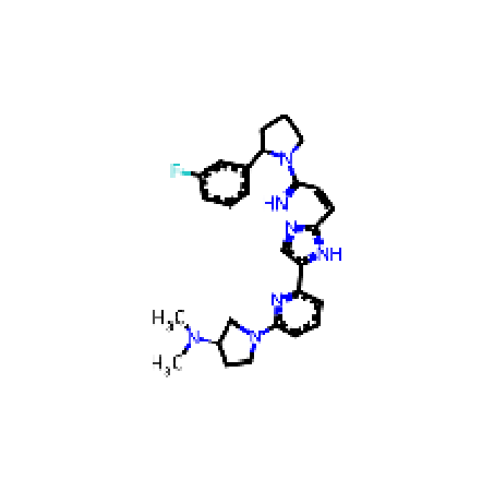 CN(C)[C@@H]1CCN(c2cccc(-c3cnc(/C=C\C(=N)N4CCCC4c4cccc(F)c4)[nH]3)n2)C1